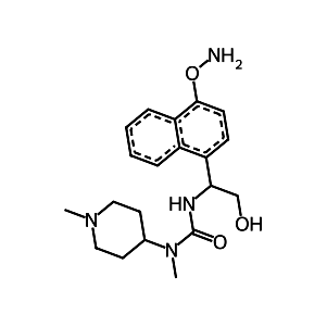 CN1CCC(N(C)C(=O)NC(CO)c2ccc(ON)c3ccccc23)CC1